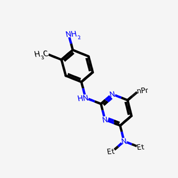 CCCc1cc(N(CC)CC)nc(Nc2ccc(N)c(C)c2)n1